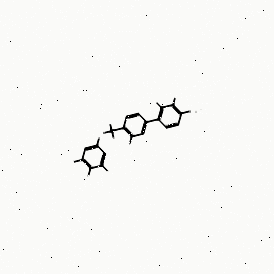 CCCc1ccc(-c2ccc(C(F)(F)Oc3cc(F)c(F)c(F)c3)c(F)c2)c(F)c1F